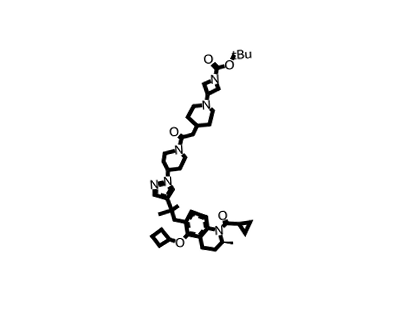 C[C@H]1CCc2c(ccc(CC(C)(C)c3cnn(C4CCN(C(=O)CC5CCN(C6CN(C(=O)OC(C)(C)C)C6)CC5)CC4)c3)c2OC2CCC2)N1C(=O)C1CC1